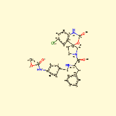 COC(=O)Nc1ccc(CNC(Cc2ccccc2)C(=O)N2CCC3(C2)OC(=O)Nc2ccc(Cl)cc23)cc1